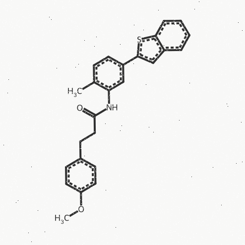 COc1ccc(CCC(=O)Nc2cc(-c3cc4ccccc4s3)ccc2C)cc1